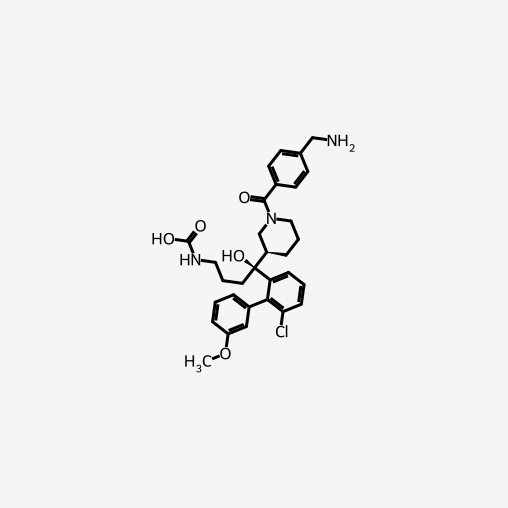 COc1cccc(-c2c(Cl)cccc2[C@](O)(CCCNC(=O)O)[C@@H]2CCCN(C(=O)c3ccc(CN)cc3)C2)c1